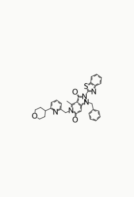 Cc1c2c(=O)n(-c3nc4ccccc4s3)n(Cc3ccccc3)c2cc(=O)n1Cc1cccc(C2CCOCC2)n1